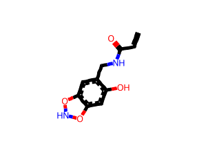 C=CC(=O)NCc1cc2c(cc1O)ONO2